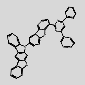 c1ccc(-c2cc(-c3ccccc3)nc(-c3cccc4c3oc3ccc(-n5c6ccccc6c6cc7c(cc65)oc5ccccc57)cc34)n2)cc1